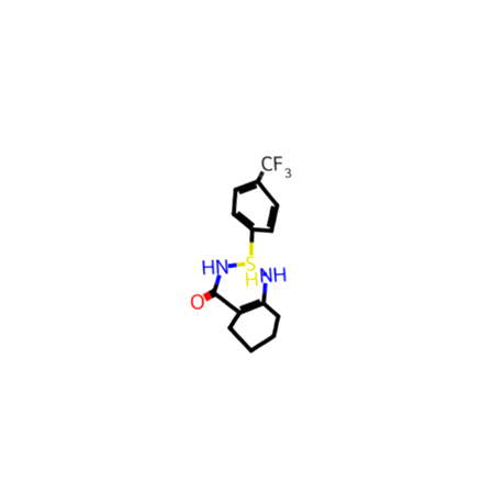 O=C1N[SH](c2ccc(C(F)(F)F)cc2)NC2=C1CCCC2